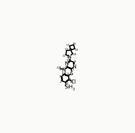 [SiH3]c1cccc(Sc2ncc(N3CCC4(CCC4)C3)nc2NI)c1Cl